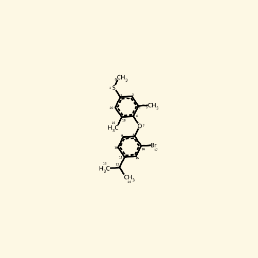 CSc1cc(C)c(Oc2ccc(C(C)C)cc2Br)c(C)c1